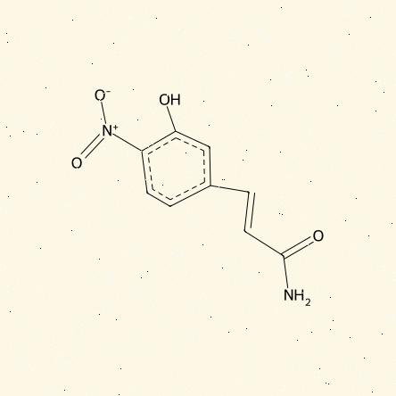 NC(=O)C=Cc1ccc([N+](=O)[O-])c(O)c1